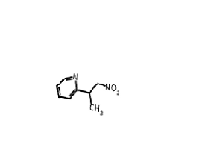 CC(C[N+](=O)[O-])c1ccccn1